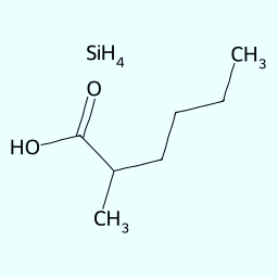 CCCCC(C)C(=O)O.[SiH4]